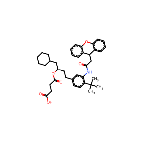 CC(C)(C)c1ccc(CC[C@H](CC2CCCCC2)OC(=O)CCC(=O)O)cc1NC(=O)CC1c2ccccc2Oc2ccccc21